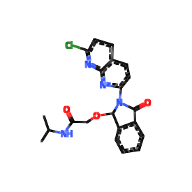 CC(C)NC(=O)COC1c2ccccc2C(=O)N1c1ccc2ccc(Cl)nc2n1